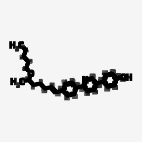 CCCCCOC(C)CCC/C=C/c1ccc(-c2ccc(-c3ccc(O)cc3)cn2)cc1